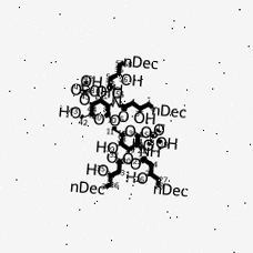 CCCCCCCCCCC[C@@H](O)CC(=O)N[C@H]1[C@H](OC[C@H]2O[C@H](OP(=O)(O)O)[C@H](NC(=O)C[C@H](O)CCCCCCCCCCC)[C@@H](OC(=O)C[C@H](O)CCCCCCCCCCC)[C@@H]2O)O[C@H](CO)[C@@H](OP(=O)(O)O)[C@@H]1OC(=O)C[C@H](O)CCCCCCCCCCC